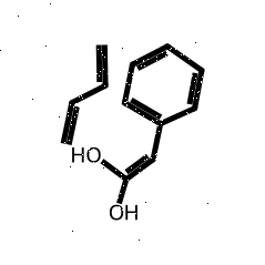 C=CC=C.OC(O)=Cc1ccccc1